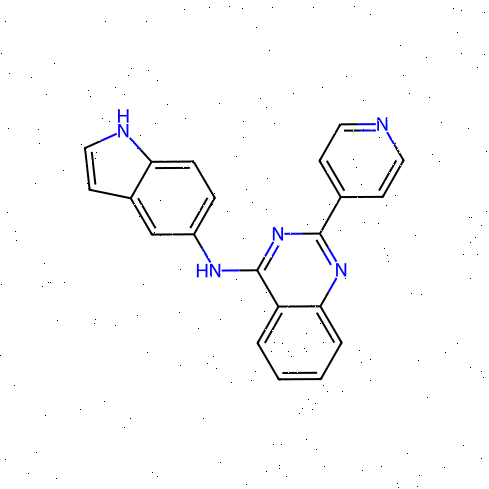 c1ccc2c(Nc3ccc4[nH]ccc4c3)nc(-c3ccncc3)nc2c1